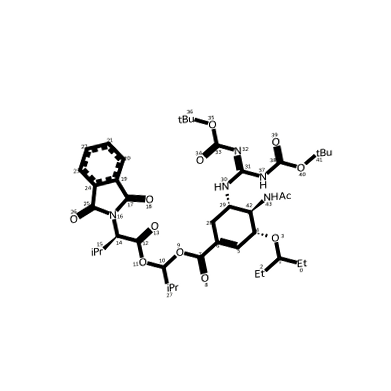 CCC(CC)O[C@@H]1C=C(C(=O)OC(OC(=O)[C@@H](C(C)C)N2C(=O)c3ccccc3C2=O)C(C)C)C[C@H](N/C(=N\C(=O)OC(C)(C)C)NC(=O)OC(C)(C)C)[C@H]1NC(C)=O